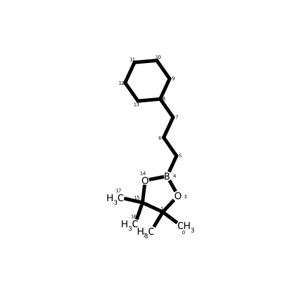 CC1(C)OB(CCCC2CCCCC2)OC1(C)C